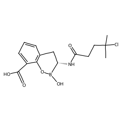 CC(C)(Cl)CCC(=O)N[C@H]1Cc2cccc(C(=O)O)c2OB1O